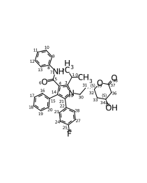 CC(C)c1c(C(=O)Nc2ccccc2)c(-c2ccccc2)c(-c2ccc(F)cc2)n1CC[C@H]1C[C@H](O)CC(=O)O1